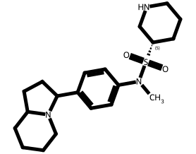 CN(c1ccc(C2CCC3CCCCN32)cc1)S(=O)(=O)[C@H]1CCCNC1